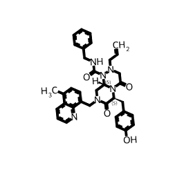 C=CCN1CC(=O)N2[C@@H](Cc3ccc(O)cc3)C(=O)N(Cc3ccc(C)c4cccnc34)C[C@@H]2N1C(=O)NCc1ccccc1